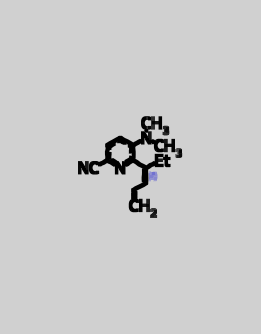 C=C/C=C(/CC)c1nc(C#N)ccc1N(C)C